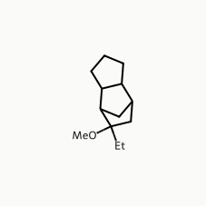 CCC1(OC)CC2CC1C1CCCC21